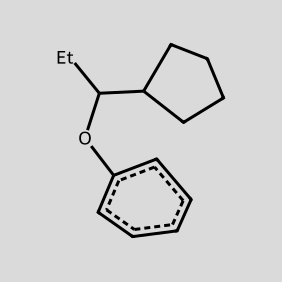 [CH2]CC(Oc1ccccc1)C1CCCC1